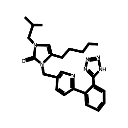 CCCCCc1cn(CC(C)C)c(=O)n1Cc1ccc(-c2ccccc2-c2nnn[nH]2)nc1